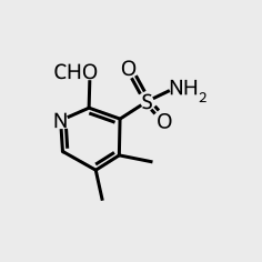 Cc1cnc(C=O)c(S(N)(=O)=O)c1C